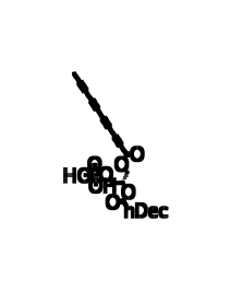 CC#CC#CC#CC#CC(=O)OC[C@@H](COP(=O)(O)O)OC(=O)CCCCCCCCCC